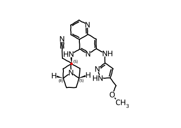 COCc1cc(Nc2cc3ncccc3c(N[C@@H]3C[C@H]4CC[C@@H](C3)N4CCC#N)n2)n[nH]1